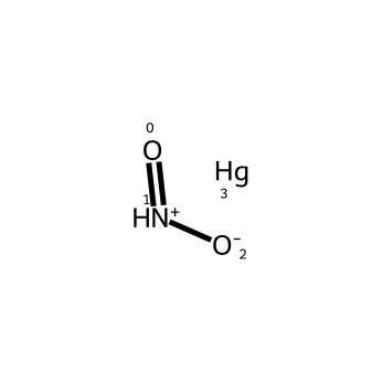 O=[NH+][O-].[Hg]